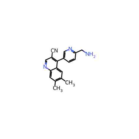 Cc1cc2ncc(C#N)c(-c3ccc(CN)nc3)c2cc1C